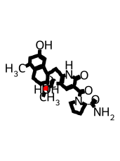 CC1CC(O)=CC2=C1C[C@H]1N(C)CC[C@@]23Cc2[nH]c(=O)c(C(=O)N4CCC[C@H]4C(N)=O)cc2C[C@@]13O